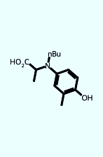 CCCCN(c1ccc(O)c(C)c1)C(C)C(=O)O